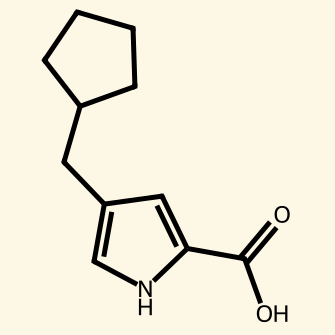 O=C(O)c1cc(CC2CCCC2)c[nH]1